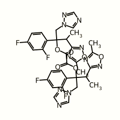 Cc1nc(C(C)C(Cn2cncn2)(OC(=O)C(=O)OC(Cn2cncn2)(c2ccc(F)cc2F)C(C)c2noc(C)n2)c2ccc(F)cc2F)no1